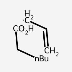 CCCCCC(=O)O.[CH2]C=C